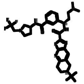 CN(C)CC[C@@H](NC(=O)c1nc2cc3c(nc2s1)CC[C@H](C(C)(C)C)C3)c1cccc(C(=O)NC2CCN(CC(F)(F)F)C2)c1